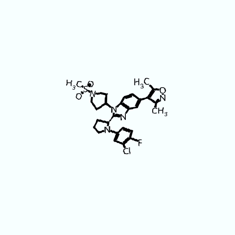 Cc1noc(C)c1-c1ccc2c(c1)nc([C@@H]1CCCN1c1ccc(F)c(Cl)c1)n2C1CCN(S(C)(=O)=O)CC1